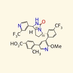 COc1ncc(-c2ccc(C(=O)O)cc2C)cc1-c1ccc(C(F)(F)F)cc1[C@@H]1CC[C@H]2C(c3ccnc(C(F)(F)F)c3)NC(=O)N12